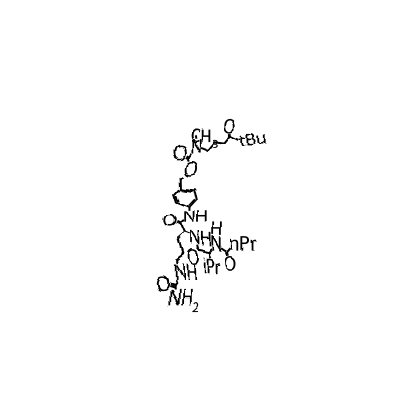 CCCC(=O)N[C@H](C(=O)N[C@@H](CCCNC(N)=O)C(=O)Nc1ccc(COC(=O)N(C)CCCC(=O)C(C)(C)C)cc1)C(C)C